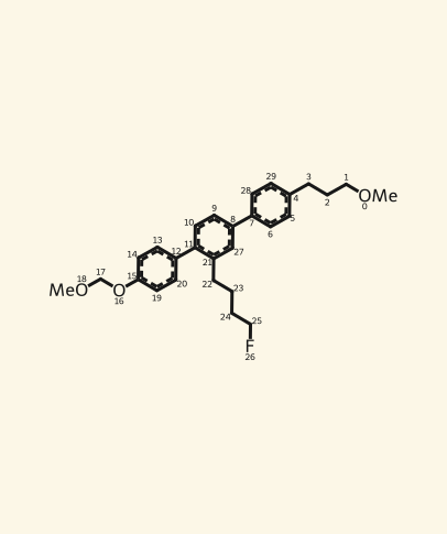 COCCCc1ccc(-c2ccc(-c3ccc(OCOC)cc3)c(CCCCF)c2)cc1